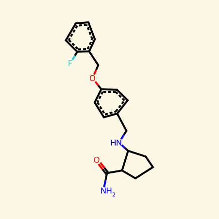 NC(=O)C1CCCC1NCc1ccc(OCc2ccccc2F)cc1